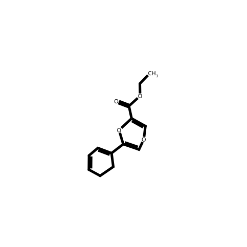 CCOC(=O)C1=COC=C(C2=CC=CCC2)O1